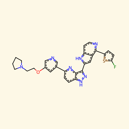 Fc1ccc(-c2nccc3[nH]c(-c4n[nH]c5ccc(-c6cncc(OCCN7CCCC7)c6)nc45)cc23)s1